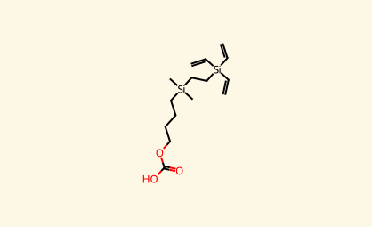 C=C[Si](C=C)(C=C)CC[Si](C)(C)CCCCOC(=O)O